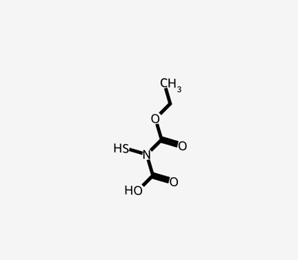 CCOC(=O)N(S)C(=O)O